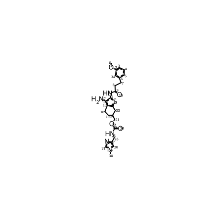 COc1cccc(CCC(=O)Nc2sc3c(c2N)CCC(COC(=O)NCc2cn(C)cn2)C3)c1